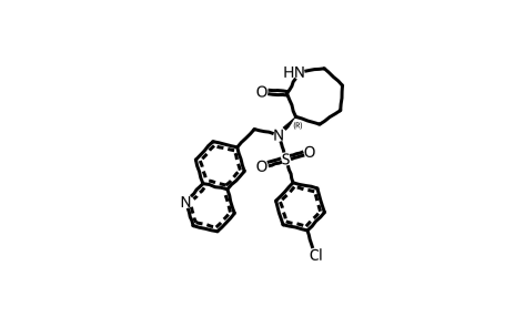 O=C1NCCCC[C@H]1N(Cc1ccc2ncccc2c1)S(=O)(=O)c1ccc(Cl)cc1